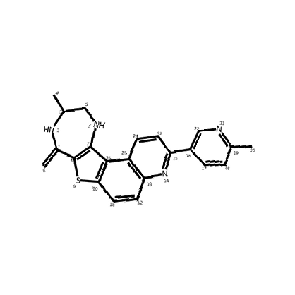 C=C1NC(C)CNc2c1sc1ccc3nc(-c4ccc(C)nc4)ccc3c21